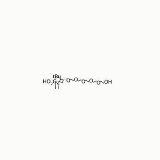 CC(C)(C)C1[C@H](COCCOCCOCCOCCOCCO)C[C@H]1NC(=O)O